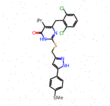 CSc1ccc(-c2cc(CSc3nc(Cc4c(Cl)cccc4Cl)c(C(C)C)c(=O)[nH]3)n[nH]2)cc1